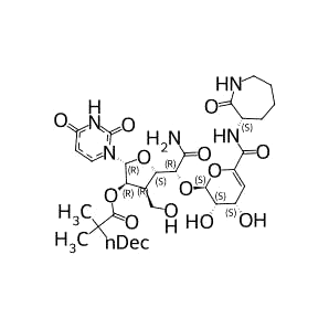 CCCCCCCCCCC(C)(C)C(=O)O[C@@H]1[C@H](CO)[C@@H]([C@@H](O[C@H]2OC(C(=O)N[C@H]3CCCCNC3=O)=C[C@H](O)[C@@H]2O)C(N)=O)O[C@H]1n1ccc(=O)[nH]c1=O